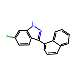 Fc1ccc2c(-c3cccc4ccccc34)n[nH]c2c1